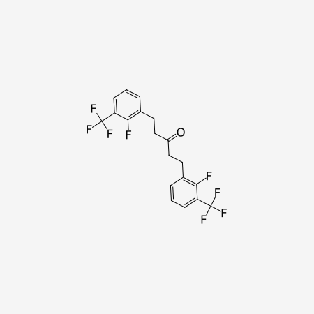 O=C(CCc1cccc(C(F)(F)F)c1F)CCc1cccc(C(F)(F)F)c1F